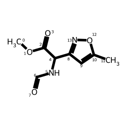 COC(=O)C(NC=O)c1cc(C)on1